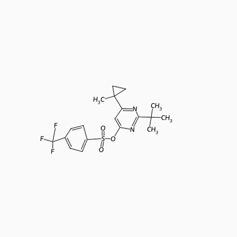 CC(C)(C)c1nc(OS(=O)(=O)c2ccc(C(F)(F)F)cc2)cc(C2(C)CC2)n1